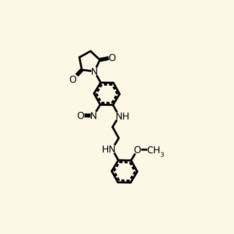 COc1ccccc1NCCNc1ccc(N2C(=O)CCC2=O)cc1N=O